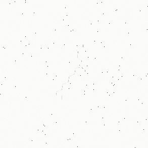 [CH2]CCCN(CC)CCCCCCCC